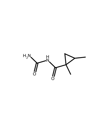 CC1CC1(C)C(=O)NC(N)=O